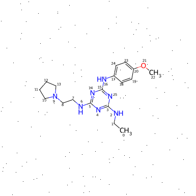 CCNc1nc(NCCN2CCCC2)nc(Nc2ccc(OC)cc2)n1